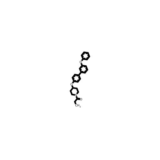 CCC(=O)N1CCC(Oc2ccc(-c3cccc(Oc4ccccc4)c3)cc2)CC1